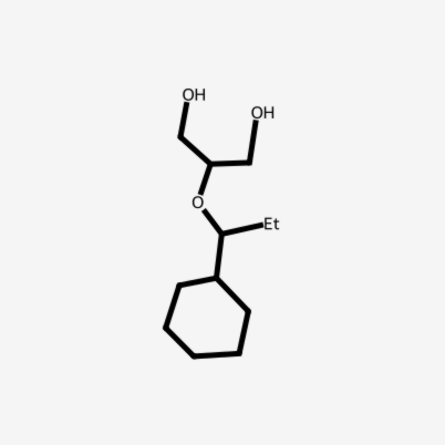 CCC(OC(CO)CO)C1CCCCC1